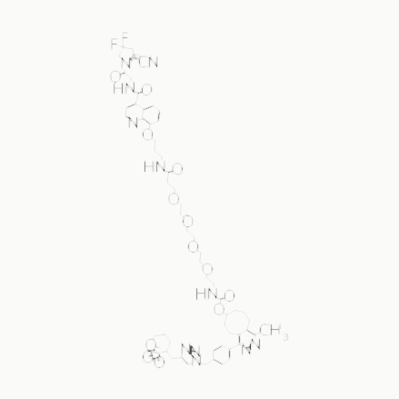 Cc1nnc(-c2ccc(Cn3cc(CC4CCCOS4(=O)=O)nn3)cc2)c2c1CCCC(OC(=O)NCCOCCOCCOCCOCCC(=O)NCCCOc1cccc3c(C(=O)NCC(=O)N4CC(F)(F)C[C@H]4C#N)ccnc13)CC2